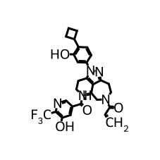 C=CC(=O)N1CCc2nn(-c3ccc(C4CCC4)c(O)c3)c3c2[C@H](C1)N(C(=O)c1cnc(C(F)(F)F)c(O)c1)CC3